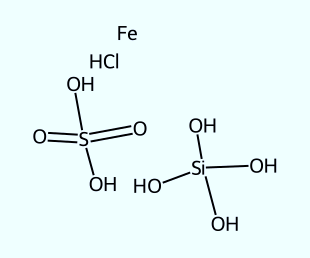 Cl.O=S(=O)(O)O.O[Si](O)(O)O.[Fe]